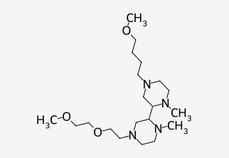 COCCCCN1CCN(C)C(C2CN(CCOCCOC)CCN2C)C1